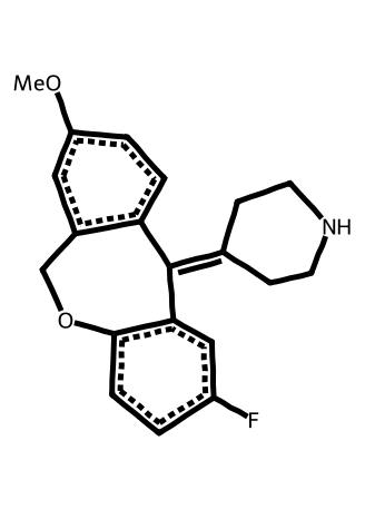 COc1ccc2c(c1)COc1ccc(F)cc1C2=C1CCNCC1